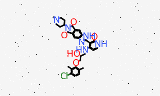 Cc1ccc(Cl)c(C)c1OCC(O)CNc1cc[nH]c(=O)c1-c1nc2cc3c(cc2[nH]1)C(=O)N(C1CCN(C)CC1)C3=O